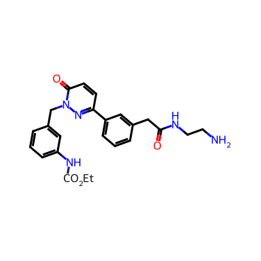 CCOC(=O)Nc1cccc(Cn2nc(-c3cccc(CC(=O)NCCN)c3)ccc2=O)c1